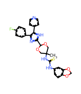 CC1(NC(=S)Nc2ccc3c(c2)OCO3)COC(c2nc(-c3ccc(F)cc3)c(-c3ccncc3)[nH]2)OC1